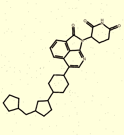 O=C1CCC(N2C(=O)c3cccc4c(C5CCC(C6CCC(CC7CCCC7)C6)CC5)cnc2c34)C(=O)N1